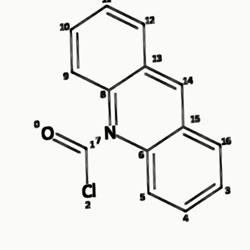 O=CCl.c1ccc2nc3ccccc3cc2c1